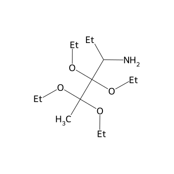 CCOC(C)(OCC)C(OCC)(OCC)C(N)CC